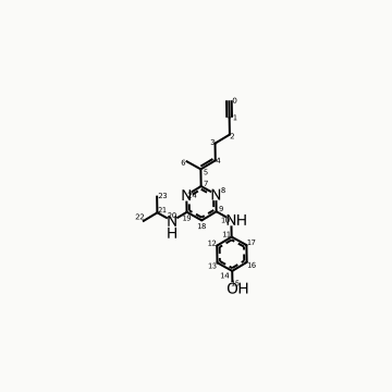 C#CCC/C=C(\C)c1nc(Nc2ccc(O)cc2)cc(NC(C)C)n1